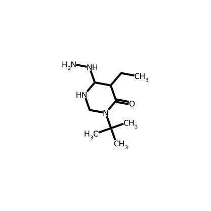 CCC1C(=O)N(C(C)(C)C)CNC1NN